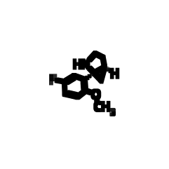 COc1ccc(F)cc1[C@@]12C[C@@H]1CCN2